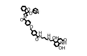 O=C(NCCCNCC(O)c1ccc(O)c2[nH]c(=O)ccc12)c1ccc(COc2ccc(C(=O)N3CC(C(=O)OC4CN5CCC4CC5)(c4ccccc4)C3)cc2)cc1